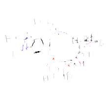 CCOC(=O)N1CCC[C@H](C)[C@H](O[Si](C)(C)C(C)(C)C)[C@@H](C)C(=O)C(C)(C)[C@@H](O[Si](C)(C)C(C)(C)C)CC(=O)O[C@H](c2ccc3c(c2)nc(C)n3C)CC1